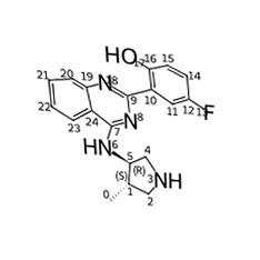 C[C@H]1CNC[C@@H]1Nc1nc(-c2cc(F)ccc2O)nc2ccccc12